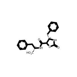 O=C1N[C@@H](Cc2ccccc2)C(C(=O)N[C@@H](Cc2ccccc2)C(=O)O)O1